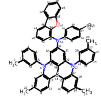 Cc1cccc(N2c3cc(C)ccc3B3c4ccc(C)cc4N(c4cccc(C)c4)c4cc(N(c5ccc(C(C)(C)C)cc5)c5cccc6c5oc5ccccc56)cc2c43)c1